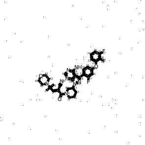 CC(C)(C=C(C#N)C(=O)N1CCCC(n2nc(-c3ccc(Oc4cccc(F)c4F)cc3F)c3c(N)ncnc32)C1)N1CCOCC1